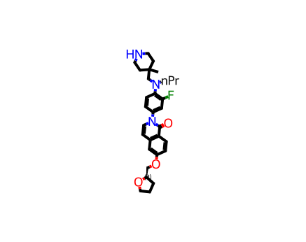 CCCN(CC1(C)CCNCC1)c1ccc(-n2ccc3cc(OC[C@H]4CCCO4)ccc3c2=O)cc1F